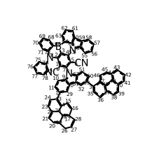 N#Cc1c2c3c(c(C#N)c1-n1c4ccc(C5=C6C=CC7=C8C(=CC=C(C=C5)C68)CC=C7)cc4c4cc(-c5ccc6ccc7cccc8ccc5c6c78)ccc41)-n1c4ccccc4c4cccc(c41)B3c1ccccc1N2c1ccccc1